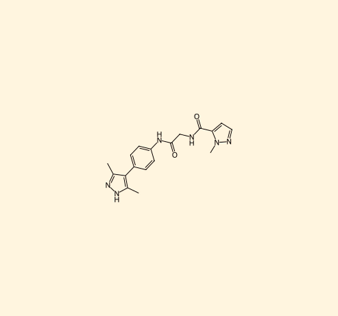 Cc1n[nH]c(C)c1-c1ccc(NC(=O)CNC(=O)c2ccnn2C)cc1